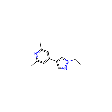 CCn1cc(-c2cc(C)nc(C)c2)cn1